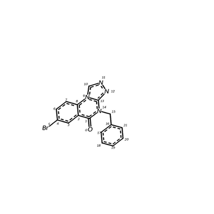 O=c1c2cc(Br)ccc2n2cnnc2n1Cc1ccccc1